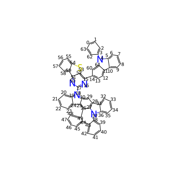 c1ccc(-n2c3ccccc3c3ccc(-c4nc(-n5c6ccccc6c6c7c8c(cc65)c5ccccc5n8-c5ccccc5-c5ccccc5-7)nc5c4sc4ccccc45)cc32)cc1